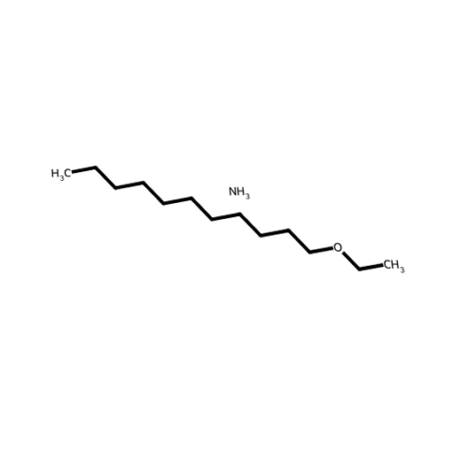 CCCCCCCCCCCOCC.N